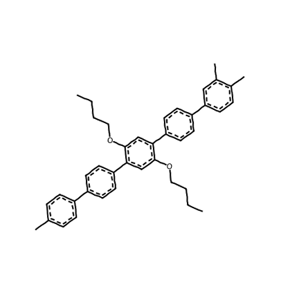 CCCCOc1cc(-c2ccc(-c3ccc(C)c(C)c3)cc2)c(OCCCC)cc1-c1ccc(-c2ccc(C)cc2)cc1